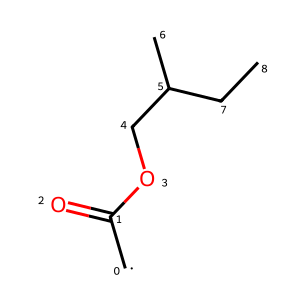 [CH2]C(=O)OCC(C)CC